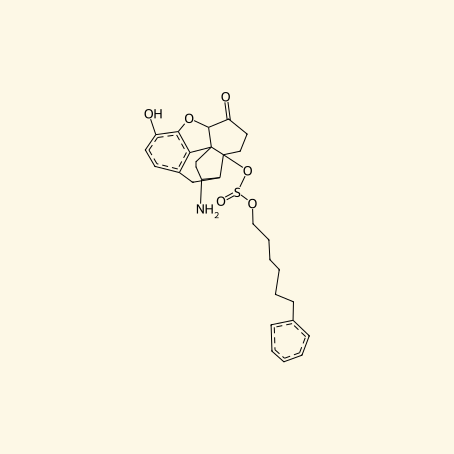 NC1CCC23c4c5ccc(O)c4OC2C(=O)CCC3(OS(=O)OCCCCCCc2ccccc2)C1C5